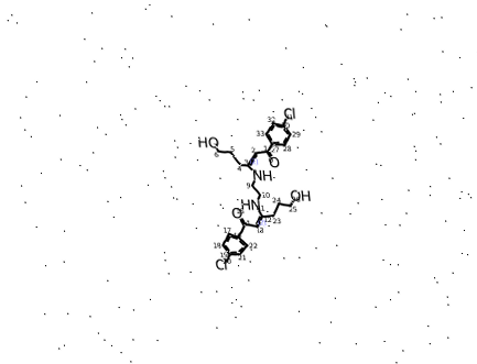 O=C(/C=C(/CCCO)NCCN/C(=C\C(=O)c1ccc(Cl)cc1)CCCO)c1ccc(Cl)cc1